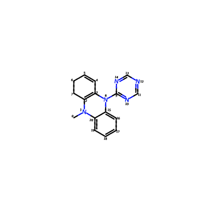 CN1C2=C(C=CCC2)N(c2ncncn2)c2ccccc21